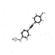 COc1ccc(C#Cc2ccc(F)cc2)cn1